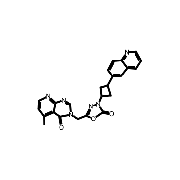 Cc1ccnc2ncn(Cc3nn(C4CC(c5ccc6ncccc6c5)C4)c(=O)o3)c(=O)c12